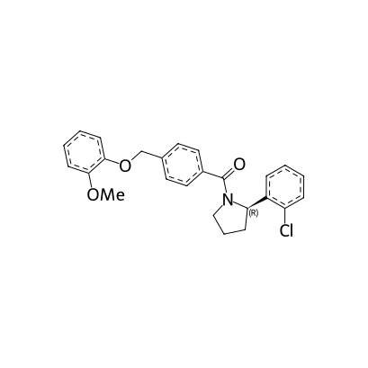 COc1ccccc1OCc1ccc(C(=O)N2CCC[C@@H]2c2ccccc2Cl)cc1